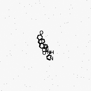 CC12CC=C3C=C4CCC(=O)C[C@]45CCC3(O5)[C@@H]1CC=C2C(=O)Nc1cccnc1